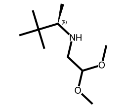 COC(CN[C@H](C)C(C)(C)C)OC